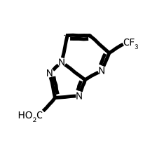 O=C(O)c1nc2nc(C(F)(F)F)c[c]n2n1